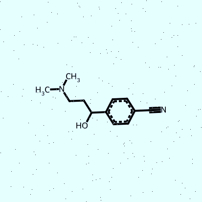 CN(C)CCC(O)c1ccc(C#N)cc1